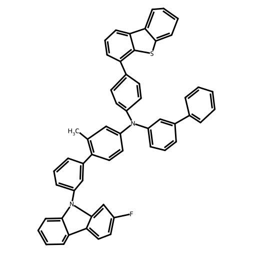 Cc1cc(N(c2ccc(-c3cccc4c3sc3ccccc34)cc2)c2cccc(-c3ccccc3)c2)ccc1-c1cccc(-n2c3ccccc3c3ccc(F)cc32)c1